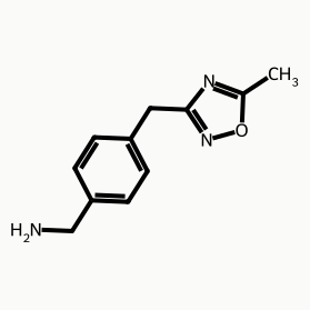 Cc1nc(Cc2ccc(CN)cc2)no1